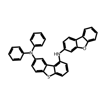 c1ccc(N(c2ccccc2)c2ccc3sc4cccc(Nc5ccc6c(c5)oc5ccccc56)c4c3c2)cc1